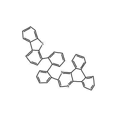 c1ccc(-c2ccccc2-c2cccc3c2sc2ccccc23)c(-c2cnc3c4ccccc4c4ccccc4c3n2)c1